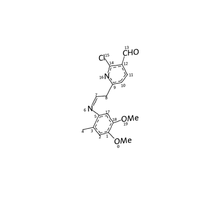 COc1cc(C)c(/N=C\Cc2ccc(C=O)c(Cl)n2)cc1OC